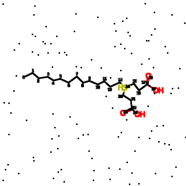 CCCCCCCCCCCCCC[SH](CCC(=O)O)CCC(=O)O